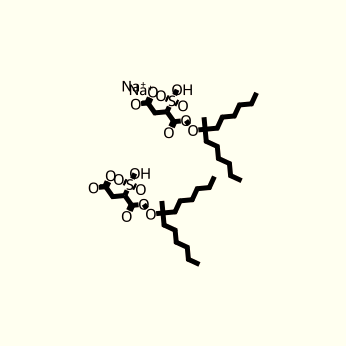 CCCCCCC(C)(CCCCCC)OOC(=O)C(CC(=O)[O-])S(=O)(=O)O.CCCCCCC(C)(CCCCCC)OOC(=O)C(CC(=O)[O-])S(=O)(=O)O.[Na+].[Na+]